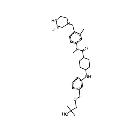 Cc1cc(N(C)C(=O)C2CCC(Nc3cccc(COCC(C)(C)O)c3)CC2)ccc1CN1CCN[C@@H](C)C1